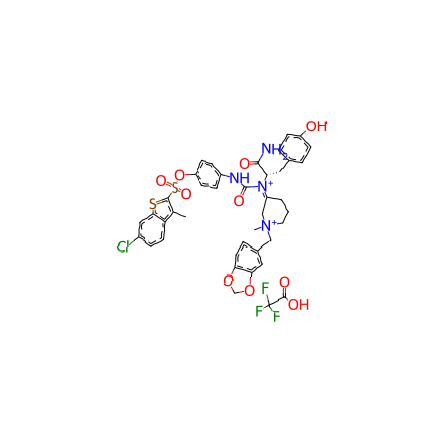 Cc1c(S(=O)(=O)Oc2ccc(NC(=O)/[N+](=C3/CCC[N+](C)(Cc4ccc5c(c4)OCO5)C3)[C@@H](Cc3ccc(O)cc3)C(N)=O)cc2)sc2cc(Cl)ccc12.O=C(O)C(F)(F)F